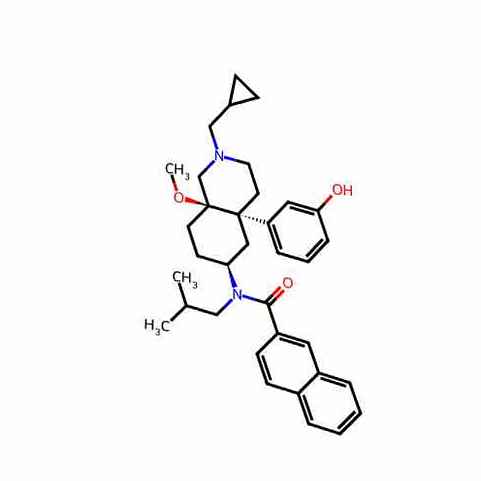 CO[C@]12CC[C@H](N(CC(C)C)C(=O)c3ccc4ccccc4c3)C[C@]1(c1cccc(O)c1)CCN(CC1CC1)C2